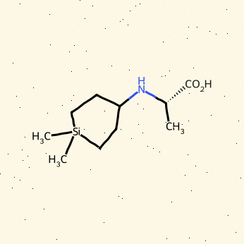 C[C@H](NC1CC[Si](C)(C)CC1)C(=O)O